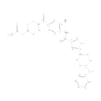 NC(=O)CN1CCN(C(=O)c2ccc(NC(=O)c3csc(N4CCC(Oc5ncccn5)CC4)n3)c(Br)c2)CC1